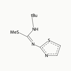 CSC(=Nc1nccs1)NC(C)(C)C